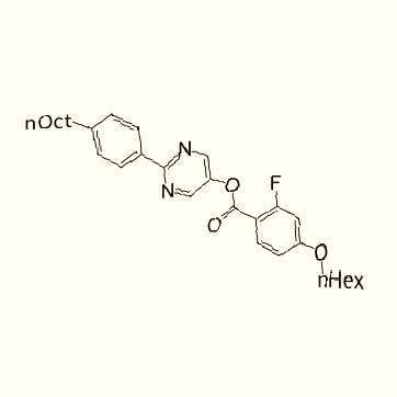 CCCCCCCCc1ccc(-c2ncc(OC(=O)c3ccc(OCCCCCC)cc3F)cn2)cc1